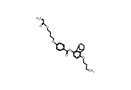 C=CC(=O)OCCCCOc1ccc(C(=O)Oc2ccc(OCCCC)c3c2C2CCC3C2)cc1